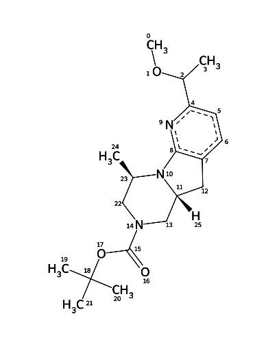 COC(C)c1ccc2c(n1)N1[C@H](C2)CN(C(=O)OC(C)(C)C)C[C@H]1C